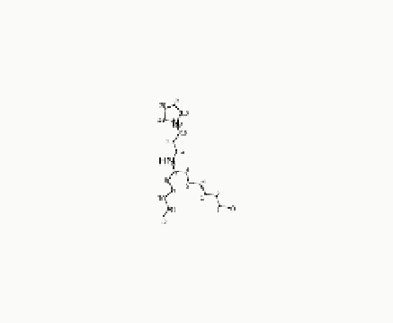 CCCCCCCC(CCCCC)NCCCN1CCCC1